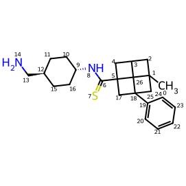 CC12CC3CC4(C(=S)N[C@H]5CC[C@H](CN)CC5)CC(c5ccccc5)(C1)C324